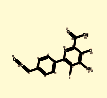 Nc1c(F)c(-c2ccc(C=C=O)cc2)nc(C(=O)O)c1Cl